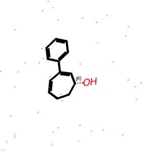 O[C@H]1C=C(c2ccccc2)C=CCC1